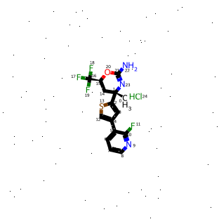 C[C@@]1(c2cc(-c3cccnc3F)cs2)C[C@@H](C(F)(F)F)OC(N)=N1.Cl